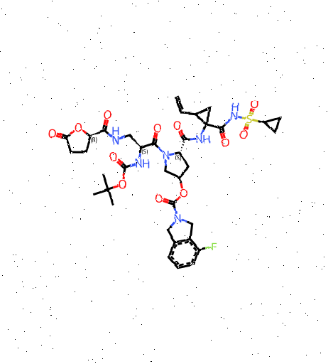 C=CC1CC1(NC(=O)[C@@H]1CC(OC(=O)N2Cc3cccc(F)c3C2)CN1C(=O)[C@H](CNC(=O)[C@H]1CCC(=O)O1)NC(=O)OC(C)(C)C)C(=O)NS(=O)(=O)C1CC1